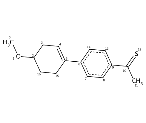 COC1CC=C(c2ccc(C(C)=S)cc2)CC1